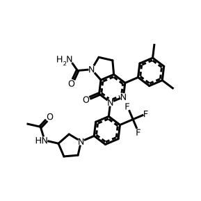 CC(=O)NC1CCN(c2ccc(C(F)(F)F)c(-n3nc(-c4cc(C)cc(C)c4)c4c(c3=O)N(C(N)=O)CC4)c2)C1